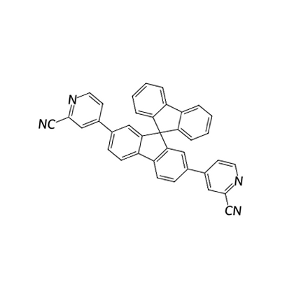 N#Cc1cc(-c2ccc3c(c2)C2(c4ccccc4-c4ccccc42)c2cc(-c4ccnc(C#N)c4)ccc2-3)ccn1